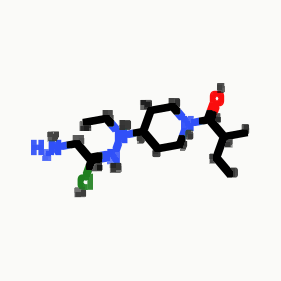 CCC(C)C(=O)N1CCC(N(CC)/N=C(/Cl)CN)CC1